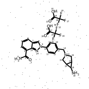 NC(=O)c1cccc2cn(-c3ccc(CN4CC5C(N)C5C4)cc3)nc12.O=C(O)C(F)(F)F.O=C(O)C(F)(F)F